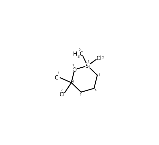 C[Si]1(Cl)CCCC(Cl)(Cl)O1